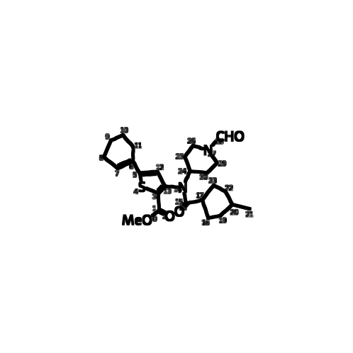 COC(=O)c1sc(C2=CCCCC2)cc1N(C(=O)C1CCC(C)CC1)C1CCN(C=O)CC1